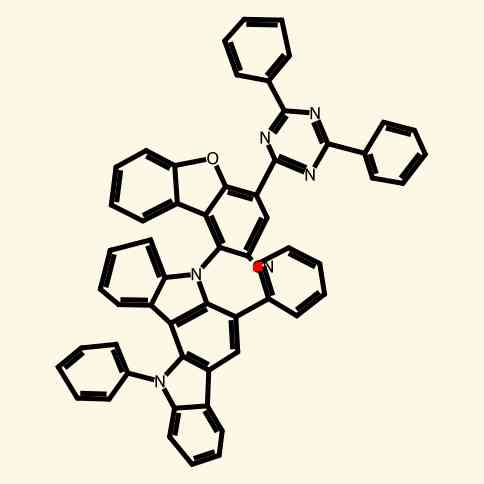 N#Cc1cc(-c2nc(-c3ccccc3)nc(-c3ccccc3)n2)c2oc3ccccc3c2c1-n1c2ccccc2c2c1c(-c1ccccc1)cc1c3ccccc3n(-c3ccccc3)c12